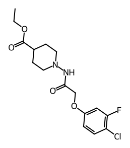 CCOC(=O)C1CCN(NC(=O)COc2ccc(Cl)c(F)c2)CC1